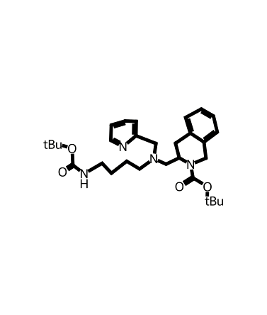 CC(C)(C)OC(=O)NCCCCN(Cc1ccccn1)CC1Cc2ccccc2CN1C(=O)OC(C)(C)C